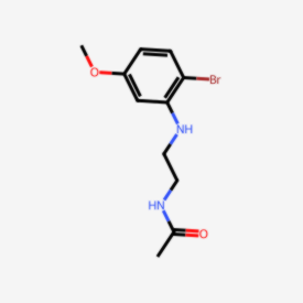 COc1ccc(Br)c(NCCNC(C)=O)c1